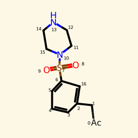 CC(=O)Cc1cccc(S(=O)(=O)N2CCNCC2)c1